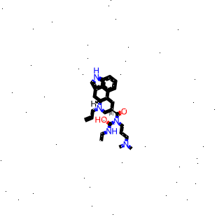 C=CCN1C[C@H](C(=O)N(CCCN(C)C)C(O)NCC)CC2c3cccc4[nH]cc(c34)C[C@H]21